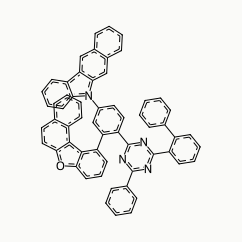 c1ccc(-c2nc(-c3ccccc3-c3ccccc3)nc(-c3ccc(-n4c5ccccc5c5cc6ccccc6cc54)cc3-c3cccc4oc5ccc6ccccc6c5c34)n2)cc1